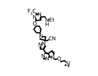 CCNCc1cc(OC2CCC(N3CC(CC#N)(n4cc(-c5ncnc6c5ccn6COCC[Si](C)(C)C)cn4)C3)CC2)nc(C(F)(F)F)n1